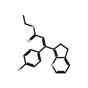 CCOC(=O)C=C(C1=C2OC=CC=C2CC1)c1ccc(F)cc1